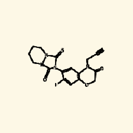 C#CCN1C(=O)COc2cc(F)c(-n3c(=O)n4n(c3=S)CCCC4)cc21